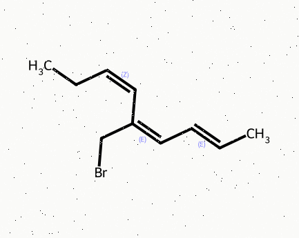 C/C=C/C=C(\C=C/CC)CBr